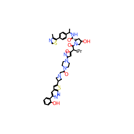 Cc1ncsc1-c1ccc(C(C)NC(=O)[C@@H]2C[C@@H](O)CN2C(=O)C(c2cc(N3CCN(C(=O)CN4CC(c5cc6cc(-c7ccccc7O)nnc6s5)C4)CC3)no2)C(C)C)cc1